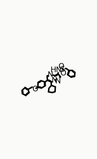 O=S(=O)(Cc1ccccc1)Nc1cnn2c(C3CCCCC3)c(-c3ccc(OCc4ccccc4)cc3)cnc12